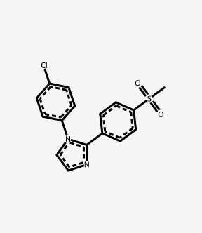 CS(=O)(=O)c1ccc(-c2nccn2-c2ccc(Cl)cc2)cc1